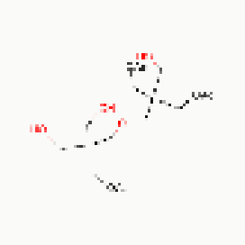 CC(=O)OCC(CO)(CO)COCC(CO)(COC(C)=O)COC(C)=O